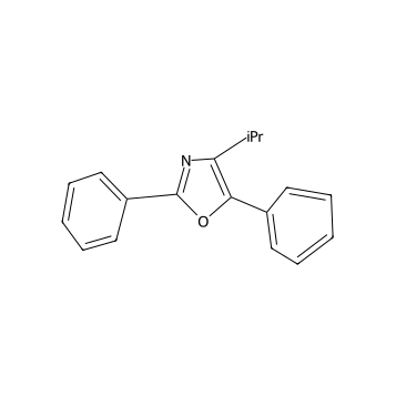 CC(C)c1nc(-c2ccccc2)oc1-c1ccccc1